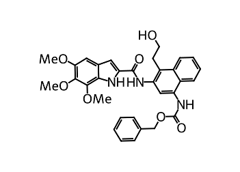 COc1cc2cc(C(=O)Nc3cc(NC(=O)OCc4ccccc4)c4ccccc4c3CCO)[nH]c2c(OC)c1OC